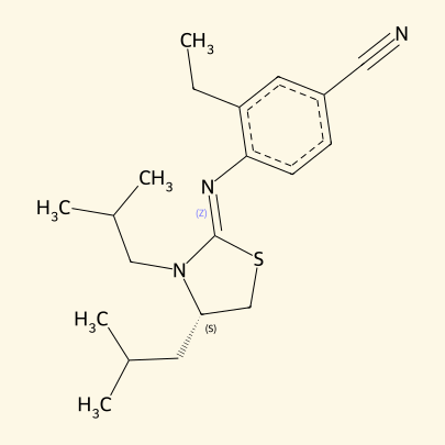 CCc1cc(C#N)ccc1/N=C1\SC[C@H](CC(C)C)N1CC(C)C